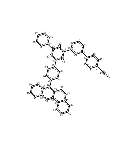 N#Cc1ccc(-c2cccc(-c3nc(-c4ccccc4)nc(-c4ccc(-c5c6ccccc6cc6c5ccc5ccccc56)cc4)n3)c2)cc1